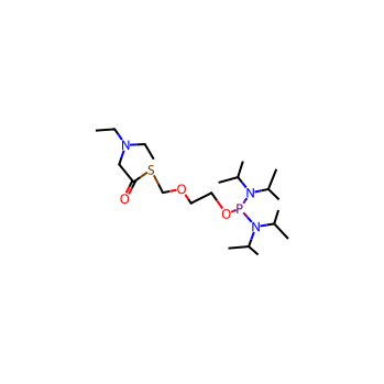 CCN(CC)CC(=O)SCOCCOP(N(C(C)C)C(C)C)N(C(C)C)C(C)C